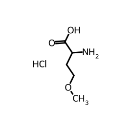 COCCC(N)C(=O)O.Cl